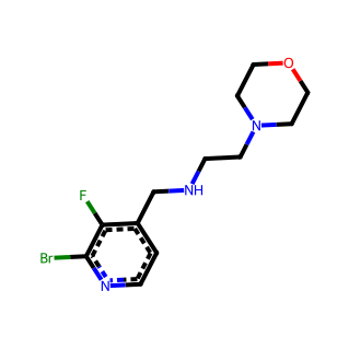 Fc1c(CNCCN2CCOCC2)ccnc1Br